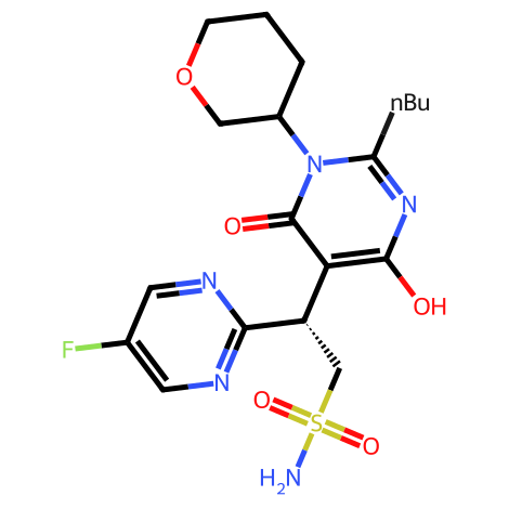 CCCCc1nc(O)c([C@H](CS(N)(=O)=O)c2ncc(F)cn2)c(=O)n1C1CCCOC1